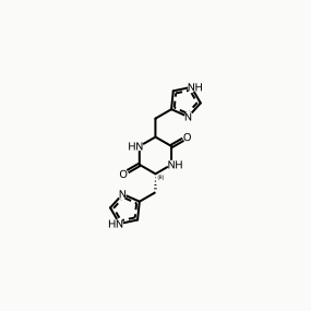 O=C1N[C@H](Cc2c[nH]cn2)C(=O)NC1Cc1c[nH]cn1